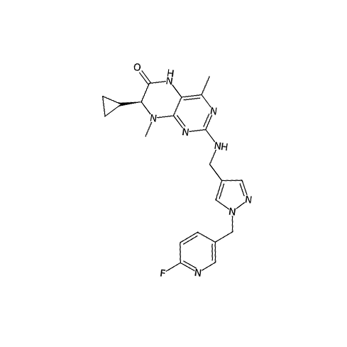 Cc1nc(NCc2cnn(Cc3ccc(F)nc3)c2)nc2c1NC(=O)[C@H](C1CC1)N2C